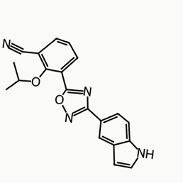 CC(C)Oc1c(C#N)cccc1-c1nc(-c2ccc3[nH]ccc3c2)no1